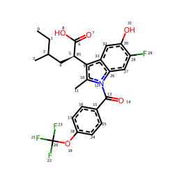 CCC(C)C[C@@H](C(=O)O)c1c(C)n(C(=O)c2ccc(OC(F)(F)F)cc2)c2cc(F)c(O)cc12